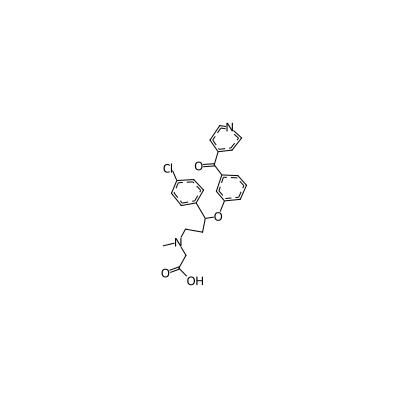 CN(CCC(Oc1cccc(C(=O)c2ccncc2)c1)c1ccc(Cl)cc1)CC(=O)O